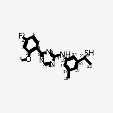 COc1cc(F)ccc1-c1ncnc(Nc2cc(C)cc(C(C)S)c2)n1